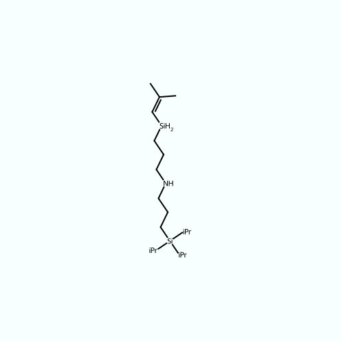 CC(C)=C[SiH2]CCCNCCC[Si](C(C)C)(C(C)C)C(C)C